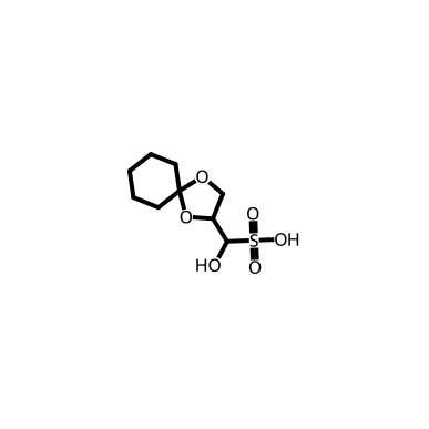 O=S(=O)(O)C(O)C1COC2(CCCCC2)O1